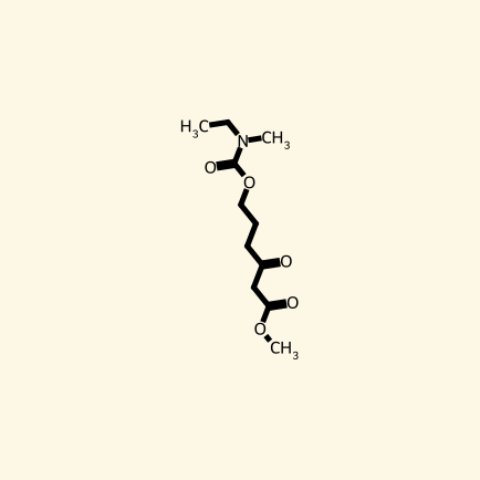 CCN(C)C(=O)OCCCC(=O)CC(=O)OC